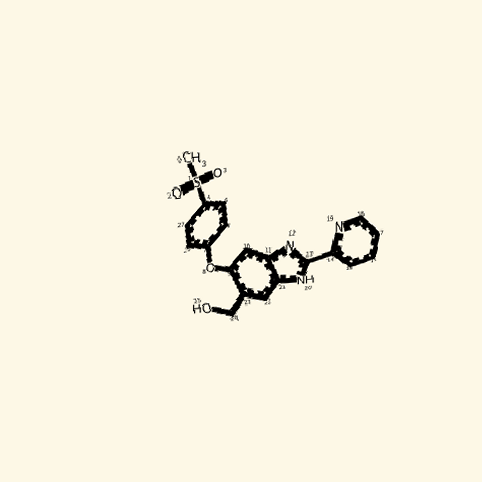 CS(=O)(=O)c1ccc(Oc2cc3nc(-c4ccccn4)[nH]c3cc2CO)cc1